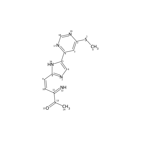 CSc1cc(-c2cnc(/C=C\C(=N)C(C)=O)[nH]2)ncn1